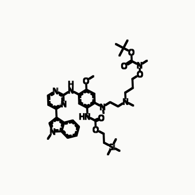 COc1cc(N(C)CCN(C)CCCON(C)C(=O)OC(C)(C)C)c(NC(=O)OCC[Si](C)(C)C)cc1Nc1nccc(-c2cn(C)c3ccccc23)n1